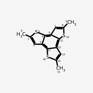 Cc1cc2c(s1)c1cc(C)sc1c1cc(C)sc21